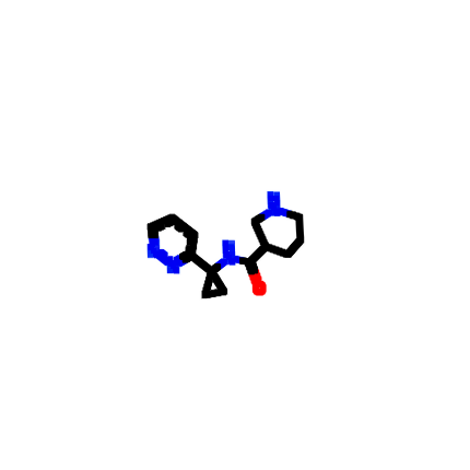 O=C(NC1(c2cccnn2)CC1)C1CCCNC1